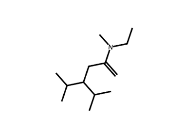 C=C(CC(C(C)C)C(C)C)N(C)CC